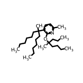 CCCCCCC(C)(CCCCCC)c1ccc(C)nc1O[C@](C)(CCC)CCCC